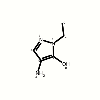 CCn1ncc(N)c1O